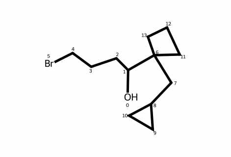 OC(CCCBr)C1(CC2CC2)CCC1